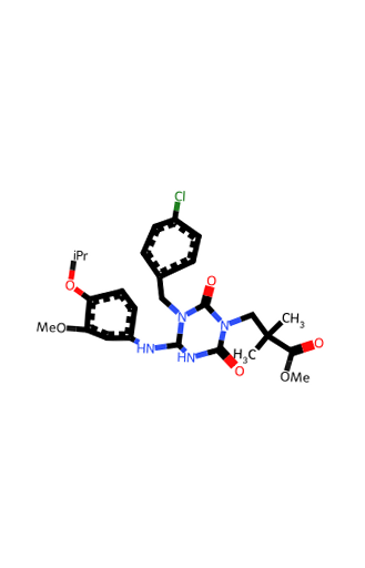 COC(=O)C(C)(C)CN1C(=O)NC(Nc2ccc(OC(C)C)c(OC)c2)N(Cc2ccc(Cl)cc2)C1=O